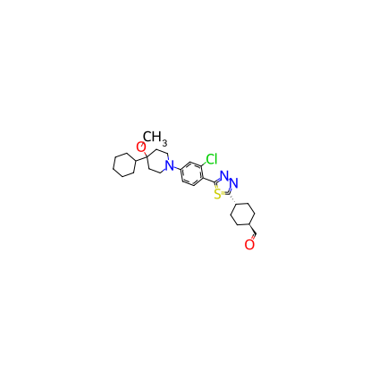 COC1(C2CCCCC2)CCN(c2ccc(-c3nnc([C@H]4CC[C@H](C=O)CC4)s3)c(Cl)c2)CC1